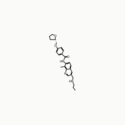 CCCNCc1cnc2c(C)c(NC(=O)c3ccc(OC[C@@H]4CCCO4)cc3)ccc2c1